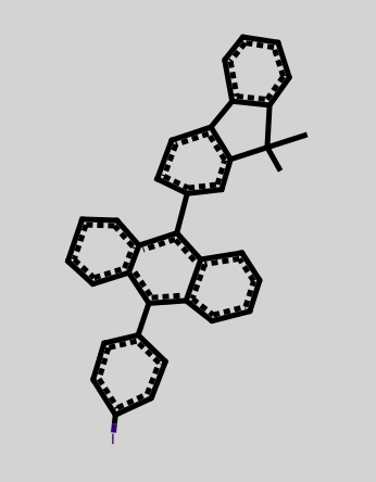 CC1(C)c2ccccc2-c2ccc(-c3c4ccccc4c(-c4ccc(I)cc4)c4ccccc34)cc21